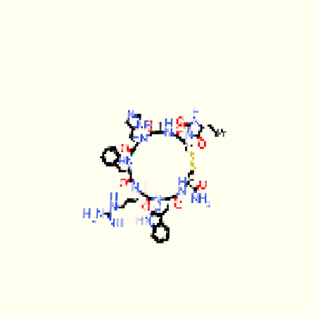 CC(C)C[C@@H]1NC(=O)N([C@H]2CSSC[C@@H](C(N)=O)NC(=O)[C@H](Cc3c[nH]c4ccccc34)NC(=O)[C@H](CCCNC(=N)N)NC(=O)[C@@H](Cc3ccccc3)NC(=O)[C@H](CC3CN=CN3)NC(=O)[C@@H](C)NC2=O)C1=O